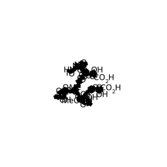 C=C1CC2C(O)N(C)c3cc(OCc4cc(COc5cc6c(cc5OC)C(=O)N5CC(=C)C[C@H]5[C@H](O)N6C(=O)OCc5ccc(O[C@H]6C[C@@H](O)C[C@@H](C(=O)O)O6)cc5)cc(CC(C)C5=CC(OS(=O)(=O)Oc6cc(C(=O)NCC(C)OC(C)Cn7cc(CNC(=O)CI)nn7)ccc6O[C@H]6C[C@@H](O)C[C@@H](C(=O)O)O6)=C5)c4)c(OC)cc3C(=O)N2C1